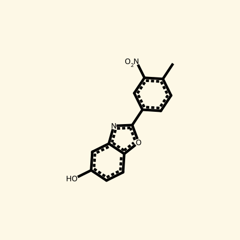 Cc1ccc(-c2nc3cc(O)ccc3o2)cc1[N+](=O)[O-]